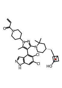 C=CC(=O)N1CCC(n2nc(N3CC[C@@H](CN4CC5(O)CC4C5)CC3(C)C)c(-c3c(Cl)c(Cl)cc4[nH]ncc34)c2C)CC1